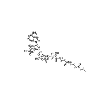 C/C=C/C(=O)SCCNC(=O)CCNC(=O)C(O)C(C)(C)COP(=O)(O)OP(=O)(O)OC[C@H]1O[C@@H](n2cnc3c(N)ncnc32)[C@H](O)[C@@H]1OP(=O)(O)O